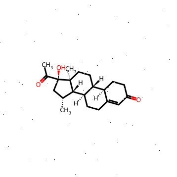 CC(=O)[C@@]1(O)C[C@@H](C)[C@H]2[C@@H]3CCC4=CC(=O)CC[C@@H]4[C@H]3CC[C@@]21C